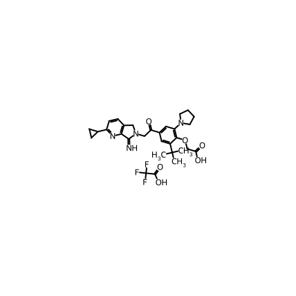 CC(C)(C)c1cc(C(=O)CN2Cc3ccc(C4CC4)nc3C2=N)cc(N2CCCC2)c1OCC(=O)O.O=C(O)C(F)(F)F